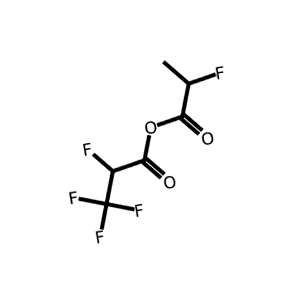 CC(F)C(=O)OC(=O)C(F)C(F)(F)F